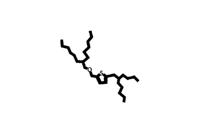 CCCCCCC(CCCCCC)COCc1ccc(CC(CCCC)CCCCC)s1